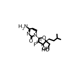 CC(C)CC[C@]1(CO)O[C@@H](n2ccc(N)nc2=O)[C@H](F)[C@@H]1O